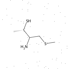 CSCC(N)[C@H](C)S